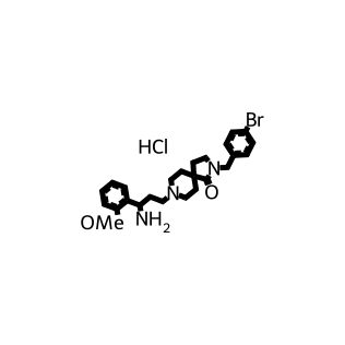 COc1ccccc1C(N)CCN1CCC2(CC1)CCN(Cc1ccc(Br)cc1)C2=O.Cl